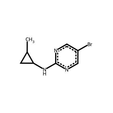 CC1CC1Nc1ncc(Br)cn1